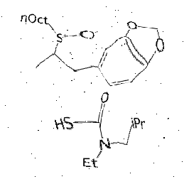 CCCCCCCC[S+]([O-])C(C)Cc1ccc2c(c1)OCO2.CCN(CC(C)C)C(=O)S